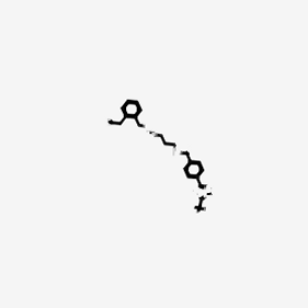 O=C(O)Cc1ccccc1CONCCCNC(=O)c1ccc(-c2noc(C(F)(F)F)n2)cc1